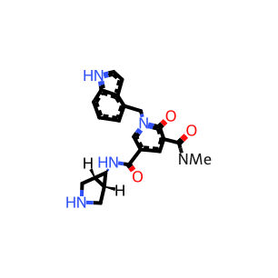 CNC(=O)c1cc(C(=O)N[C@@H]2[C@@H]3CNC[C@@H]32)cn(Cc2cccc3[nH]ccc23)c1=O